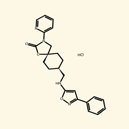 Cl.O=C1O[C@]2(CC[C@H](CNc3cc(-c4ccccc4)no3)CC2)CN1c1ccccn1